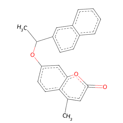 Cc1cc(=O)oc2cc(OC(C)c3ccc4ccccc4c3)ccc12